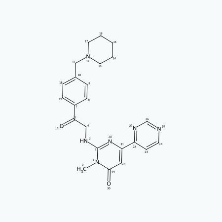 Cn1c(NCC(=O)c2ccc(CN3CCCCC3)cc2)nc(-c2ccncn2)cc1=O